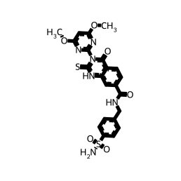 COc1cc(OC)nc(-n2c(=S)[nH]c3cc(C(=O)NCc4ccc(S(N)(=O)=O)cc4)ccc3c2=O)n1